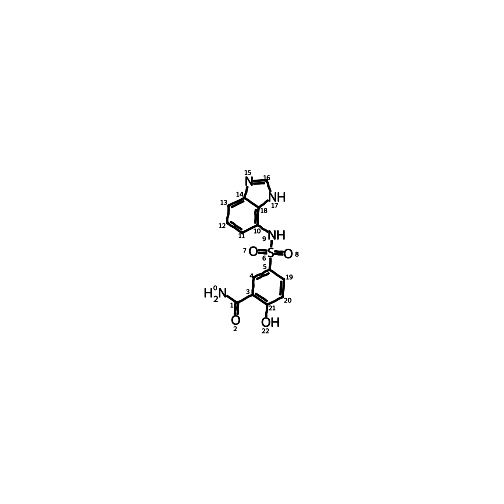 NC(=O)c1cc(S(=O)(=O)Nc2cccc3nc[nH]c23)ccc1O